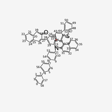 c1ccc(-c2ccc(-c3ccc(N(c4ccc5oc6cc7ccccc7cc6c5c4)c4ccc5ccccc5c4-c4cccc5c4sc4ccccc45)cc3)cc2)cc1